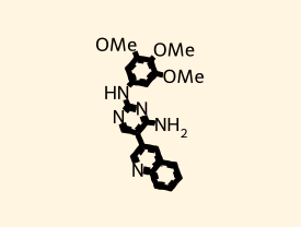 COc1cc(Nc2ncc(-c3cnc4ccccc4c3)c(N)n2)cc(OC)c1OC